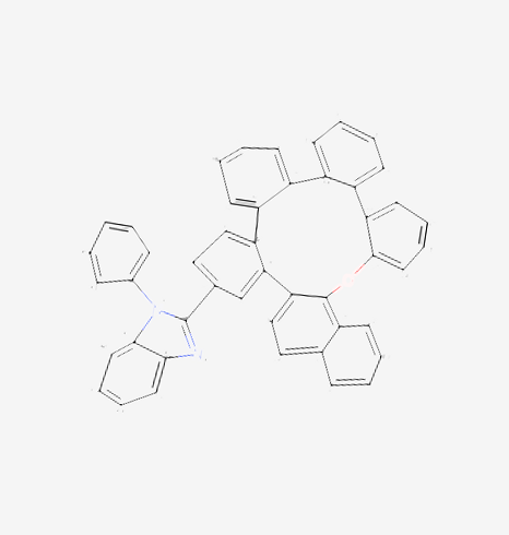 c1ccc(-n2c(-c3ccc4c(c3)-c3ccc5ccccc5c3Oc3ccccc3-c3ccccc3-c3ccccc3-4)nc3ccccc32)cc1